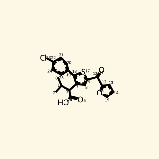 CC(C)C(C(=O)O)c1cc(C(=O)c2ccco2)sc1-c1ccc(Cl)cc1